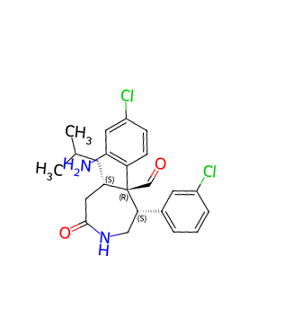 CC(C)C[C@H]1CC(=O)NC[C@@H](c2cccc(Cl)c2)[C@@]1(C=O)c1ccc(Cl)cc1N